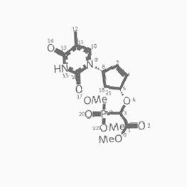 COC(=O)C(O[C@H]1C=C[C@@H](n2cc(C)c(=O)[nH]c2=O)C1)P(=O)(OC)OC